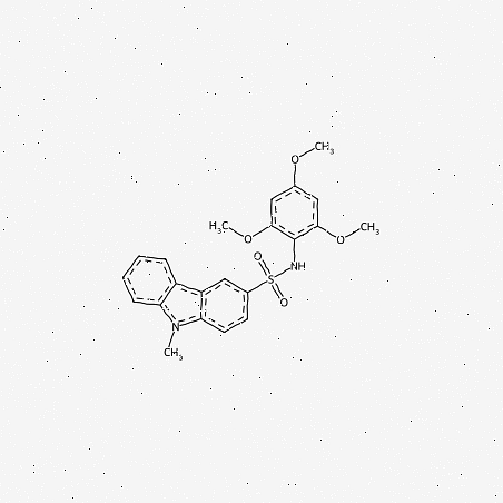 COc1cc(OC)c(NS(=O)(=O)c2ccc3c(c2)c2ccccc2n3C)c(OC)c1